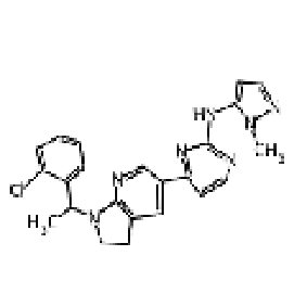 CC(c1ccccc1Cl)N1CCc2cc(-c3ccnc(Nc4ccnn4C)n3)cnc21